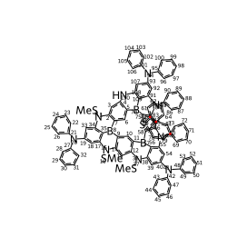 CSN1c2cc3c(cc2B2c4cc5c(cc4N(SC)c4cc(N(c6ccccc6)c6ccccc6)cc1c42)N(SC)c1cc(N(c2ccccc2)c2ccccc2)cc2c1B5c1sc4ccccc4c1N2c1ccccc1)B1c2sc4ccccc4c2N(c2ccccc2)c2cc(N(c4ccccc4)c4ccccc4)cc(c21)N3